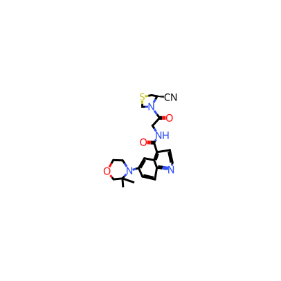 CC1(C)COCCN1c1ccc2nccc(C(=O)NCC(=O)N3CSC[C@H]3C#N)c2c1